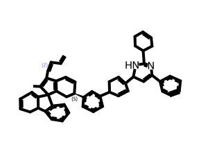 C=C/C=C\C1=C(C)C2(C3=CC=CCC3c3ccccc32)C2=C1C=C[C@@H](c1cccc(C3C=CC(C4C=C(c5cc#ccc5)N=C(C5CC=CCC5)N4)=CC3)c1)C2